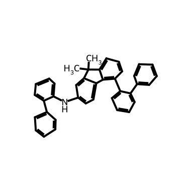 CC1(C)c2cc(Nc3ccccc3-c3ccccc3)ccc2-c2c(-c3ccccc3-c3ccccc3)cccc21